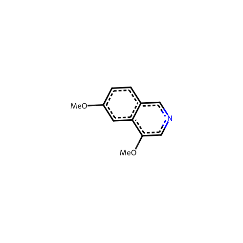 COc1ccc2cncc(OC)c2c1